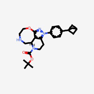 CC(C)(C)OC(=O)N1CCc2c3c(nn2-c2ccc(C45CC(C4)C5)cc2)OCCNC[C@@H]31